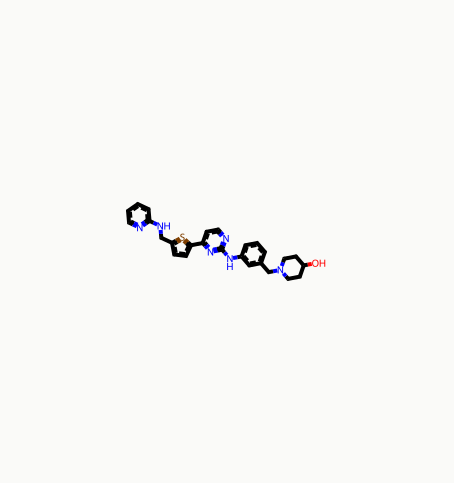 OC1CCN(Cc2cccc(Nc3nccc(-c4ccc(CNc5ccccn5)s4)n3)c2)CC1